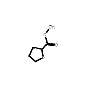 O=C(OO)C1CCCO1